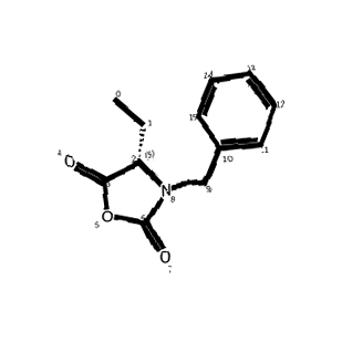 CC[C@H]1C(=O)OC(=O)N1Cc1ccccc1